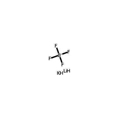 F[B-](F)(F)F.[KH].[LiH]